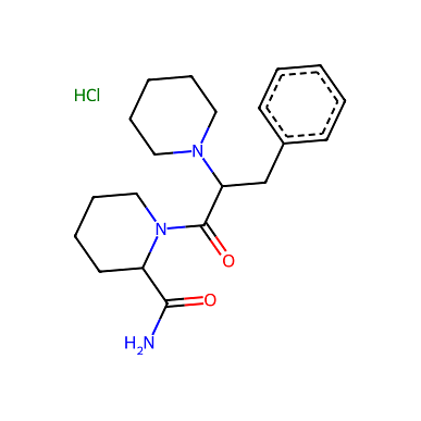 Cl.NC(=O)C1CCCCN1C(=O)C(Cc1ccccc1)N1CCCCC1